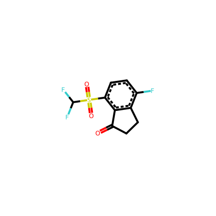 O=C1CCc2c(F)ccc(S(=O)(=O)C(F)F)c21